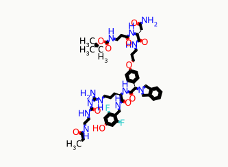 CCC(=O)NCCNC(=O)/N=C(/N)NCCC[C@@H](NC(=O)[C@H](c1ccc(OCCCNC(=O)[C@@H](CC(N)=O)NC(=O)CCNC(=O)OC(C)(C)C)cc1)N1Cc2ccccc2C1)C(=O)NCc1c(F)cc(O)cc1F